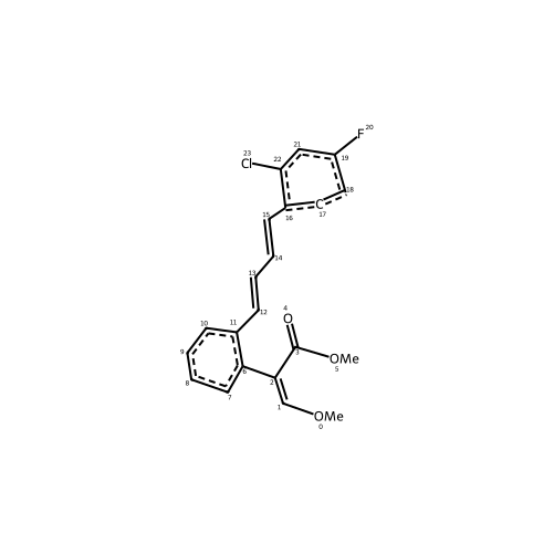 COC=C(C(=O)OC)c1ccccc1C=CC=Cc1ccc(F)cc1Cl